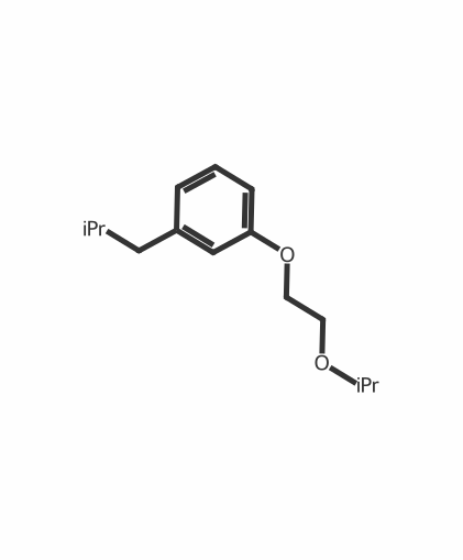 CC(C)Cc1cccc(OCCOC(C)C)c1